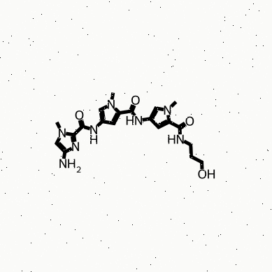 Cn1cc(NC(=O)c2cc(NC(=O)c3nc(N)cn3C)cn2C)cc1C(=O)NCCCO